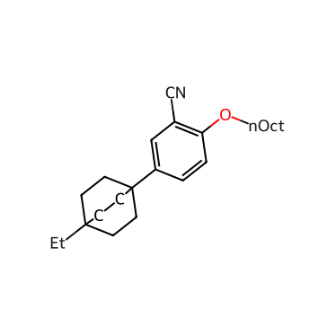 CCCCCCCCOc1ccc(C23CCC(CC)(CC2)CC3)cc1C#N